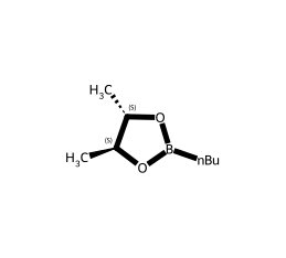 CCCCB1O[C@@H](C)[C@H](C)O1